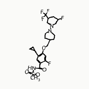 CS(=O)(=O)NC(=O)c1cc(C2CC2)c(OCC2CCN(N3CC(F)CC(C(F)(F)F)C3)CC2)cc1F